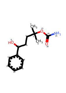 CC(C)(CCC(O)c1ccccc1)OC(N)=O